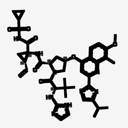 C=C[C@@H]1C[C@]1(NC(=O)[C@@H]1C[C@@H](Oc2cc(-c3nc(C(C)C)cs3)nc3c(C)c(OC)ccc23)CN1C(=O)[C@@H](Nc1ncc[nH]1)C(C)(C)C)C(=O)NS(=O)(=O)C1CC1